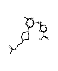 CC(=O)OCCN1CCN(c2cc(Nc3ncc(C(=O)O)s3)nc(C)n2)CC1